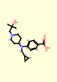 CC(C)(O)CN1CCC(N(CC2CC2)c2ccc(C(=O)O)cc2)CC1